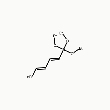 CCCC=CC=C[Si](OCC)(OCC)OCC